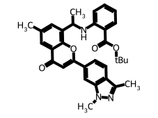 Cc1cc(C(C)Nc2ccccc2C(=O)OC(C)(C)C)c2oc(-c3ccc4c(C)nn(C)c4c3)cc(=O)c2c1